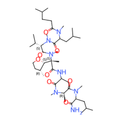 CCC(NC(=O)[C@](C)([C@H]1OCC[C@H]1C)N(C)C(=O)[C@H](C(C)C)N(C)C(=O)C(CC(C)C)N(C)C(=O)CCC(C)C)C(=O)N(C)[C@H](C)C(=O)N(C)C(CC(C)C)C(N)=O